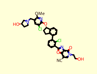 COc1nc(O[C@H]2CCc3c(-c4cccc(-c5nc6c(=O)n(CCO)cc(C#N)c6o5)c4Cl)cccc32)c(Cl)cc1CN1CC[C@@H](O)C1